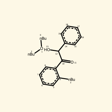 CCCCOCCCC.CCCCc1ccccc1C(=O)C(O)c1ccccc1